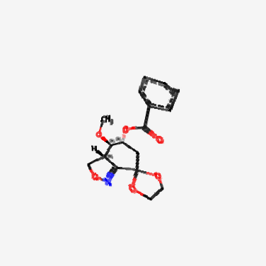 CO[C@H]1[C@H](OC(=O)c2ccccc2)CC2(OCCO2)C2=NOC[C@@H]21